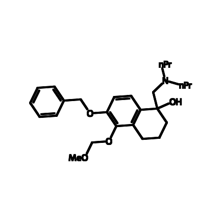 CCCN(CCC)CC1(O)CCCc2c1ccc(OCc1ccccc1)c2OCOC